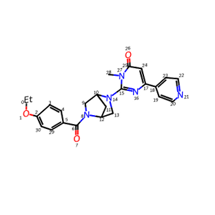 CCOc1ccc(C(=O)N2CC3CC2CN3c2nc(-c3ccncc3)cc(=O)n2C)cc1